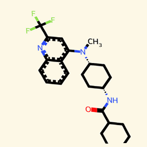 CN(c1cc(C(F)(F)F)nc2ccccc12)[C@H]1CC[C@@H](NC(=O)C2CCCCC2)CC1